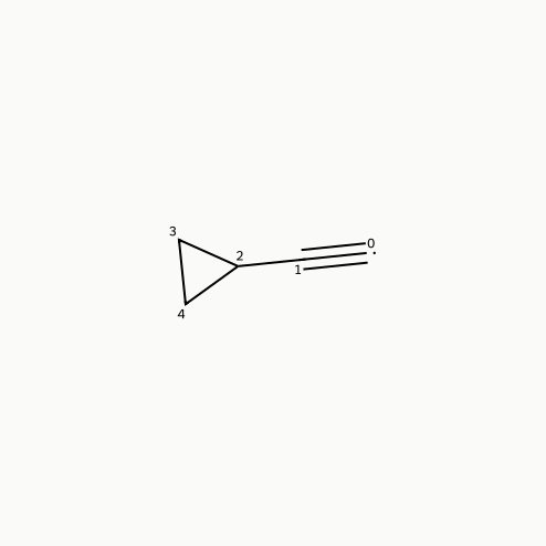 [C]#CC1CC1